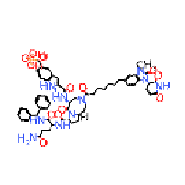 Cn1c(=O)n(C2CCC(=O)NC2=O)c2ccc(CCCCCCC(=O)N3CC[C@H]4CC[C@@H](C(=O)N[C@@H](CCC(N)=O)C(=O)NC(c5ccccc5)c5ccccc5)N4C(=O)[C@@H](NC(=O)c4cc5cc(C(=O)P(=O)(O)O)ccc5[nH]4)C3)cc21